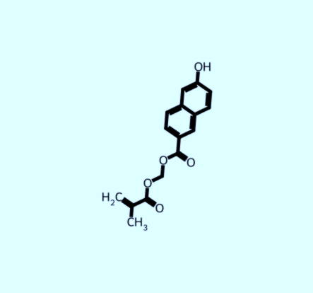 C=C(C)C(=O)OCOC(=O)c1ccc2cc(O)ccc2c1